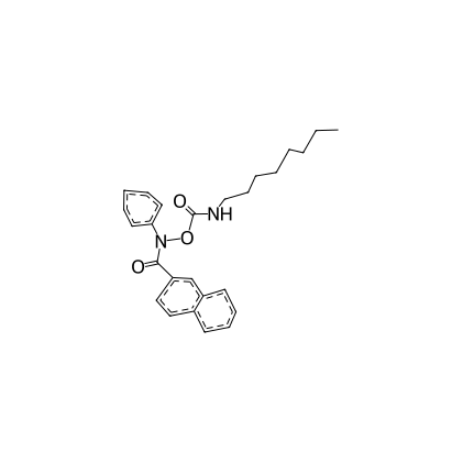 CCCCCCCCNC(=O)ON(C(=O)c1ccc2ccccc2c1)c1ccccc1